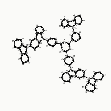 c1cc(-c2nc(-c3ccc(-n4c5ccccc5c5cc(-n6c7ccccc7c7ccccc76)ccc54)cc3)nc(-c3ccc(-n4c5ccccc5c5cc(-n6c7ccccc7c7ccccc76)ccc54)cc3)n2)cc(-n2c3ccccc3c3ncccc32)c1